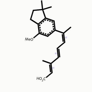 COc1cc(\C(C)=C/C=C/C(C)=C/C(=O)O)cc2c1CCC2(C)C